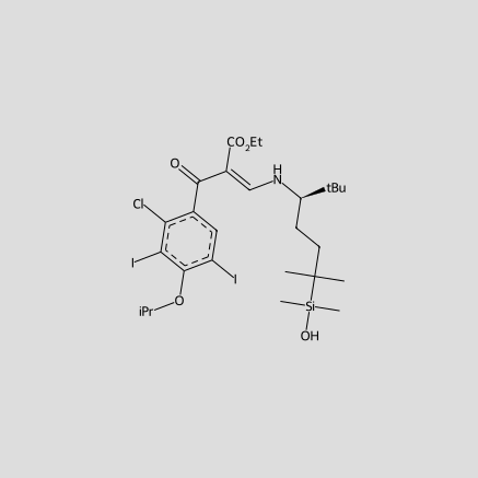 CCOC(=O)C(=CN[C@H](CCC(C)(C)[Si](C)(C)O)C(C)(C)C)C(=O)c1cc(I)c(OC(C)C)c(I)c1Cl